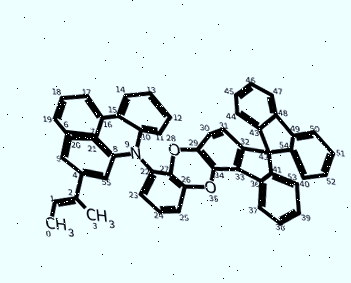 C/C=C(\C)c1cccc(N(c2ccccc2-c2ccccc2)c2cccc3c2Oc2ccc4c(c2O3)-c2ccccc2C42c3ccccc3-c3ccccc32)c1